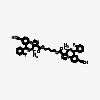 C#Cc1ccc2c(c1)C(c1ccccc1F)=N[C@@H](C)c1c(C(=O)OCCCCOC(=O)c3ncn4c3[C@H](C)N=C(c3ccccc3F)c3cc(C#C)ccc3-4)ncn1-2